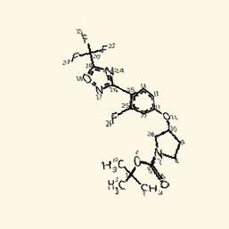 CC(C)(C)OC(=O)N1CC[C@H](Oc2ccc(-c3noc(C(F)(F)F)n3)c(F)c2)C1